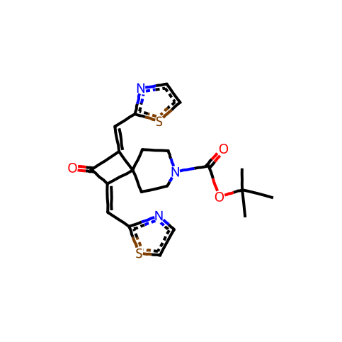 CC(C)(C)OC(=O)N1CCC2(CC1)/C(=C\c1nccs1)C(=O)/C2=C/c1nccs1